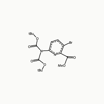 COC(=O)c1nc(N(C(=O)OC(C)(C)C)C(=O)OC(C)(C)C)ccc1Br